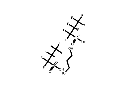 O=S(=O)(O)C(F)(F)C(F)(F)C(F)(F)F.O=S(=O)(O)C(F)(F)C(F)(F)C(F)(F)F.OCCCO